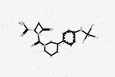 NC(=O)[C@@H]1CC(=O)N1C(=O)N1CCCC(c2ccc(OC(F)(F)F)cc2)C1